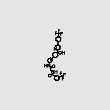 O=C(CNC(=O)c1cccc(C(F)(F)F)c1)N[C@@H]1CCN(C2CCC(O)(c3ccc(-c4ccc(C(F)(F)F)cc4)cn3)CC2)C1